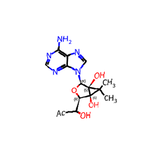 CC(=O)C(O)[C@H]1O[C@@H](n2cnc3c(N)ncnc32)[C@]2(O)C(C)(C)[C@]12O